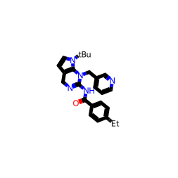 CCc1ccc(C(=O)NC2=NCc3ccn(C(C)(C)C)c3N2Cc2cccnc2)cc1